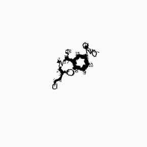 CN1CC(CCCl)Oc2ccc([N+](=O)[O-])cc2C1=S